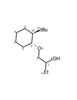 CCC(O)CO[C@@H]1CCCC[C@H]1C(C)(C)C